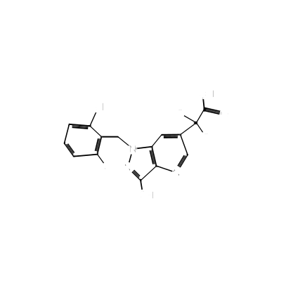 Cc1cccc(Cl)c1Cn1nc(C)c2ncc(C(F)(F)C(=O)O)cc21